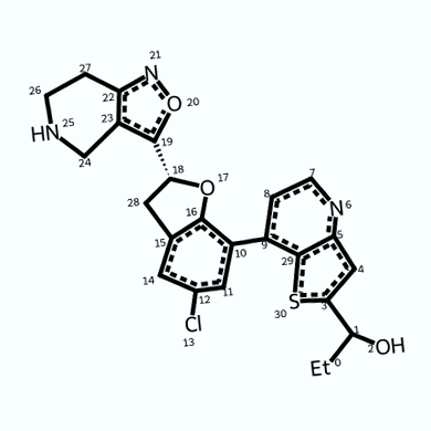 CCC(O)c1cc2nccc(-c3cc(Cl)cc4c3O[C@@H](c3onc5c3CNCC5)C4)c2s1